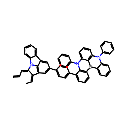 C=C/C=c1\c(=C/C)c2cc(-c3ccc(-c4cccc5c4N(c4ccccc4)c4cccc6c4B5c4ccccc4N6c4ccccc4)cc3)cc3c4ccccc4n1c23